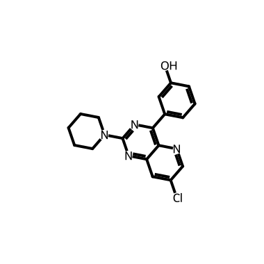 Oc1cccc(-c2nc(N3CCCCC3)nc3cc(Cl)cnc23)c1